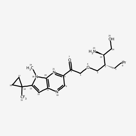 CC(C)C[C@H](COCC(=O)c1cnc2cc(C3(C(F)(F)F)CC3)n(C)c2n1)[C@@H](N)CO